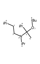 CC(C)CCN(C(C)C)C(C)(OC(C)(C)C)C(C)C